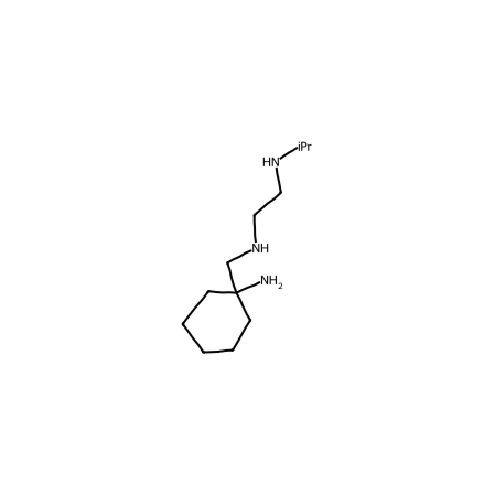 CC(C)NCCNCC1(N)CCCCC1